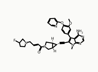 COc1cc(-c2c(C#C[C@@H]3[C@H]4CN(C(=O)/C=C/CN5CCC(F)C5)C[C@@H]34)n(C)c3ncnc(N)c23)ccc1Oc1ccccn1